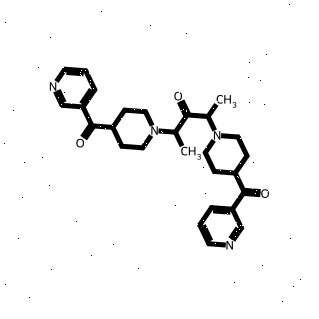 CC(C(=O)C(C)N1CCC(C(=O)c2cccnc2)CC1)N1CCC(C(=O)c2cccnc2)CC1